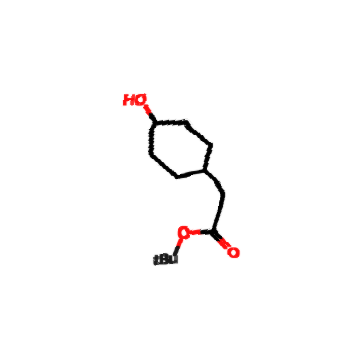 CC(C)(C)OC(=O)CC1CCC(O)CC1